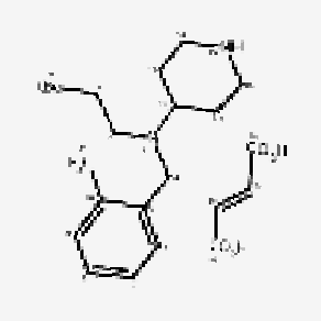 CC(C)(C)CCN(Cc1ccccc1C(F)(F)F)C1CCNCC1.O=C(O)C=CC(=O)O